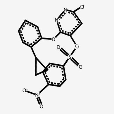 O=[N+]([O-])c1ccc(S(=O)(=O)Oc2cc(Cl)nnc2Oc2ccccc2C2CC2)cc1